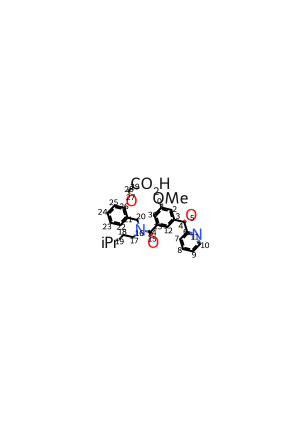 COc1cc(C(=O)c2ccccn2)cc(C(=O)N(CCC(C)C)Cc2ccccc2OCC(=O)O)c1